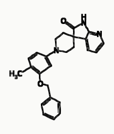 Cc1ccc(N2CCC3(CC2)C(=O)Nc2ncccc23)cc1OCc1ccccc1